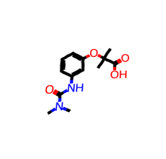 CN(C)C(=O)Nc1cccc(OC(C)(C)C(=O)O)c1